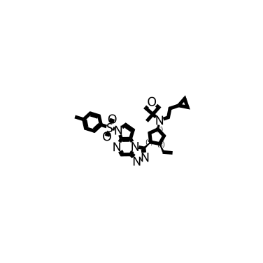 CC[C@@H]1C[C@H](N(CCC2CC2)C2(C)COC2)C[C@@H]1c1nnc2cnc3c(ccn3S(=O)(=O)c3ccc(C)cc3)n12